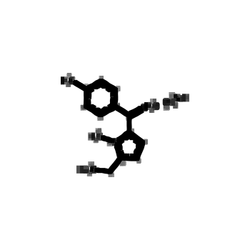 Cc1ccc(C(=O)c2ccc(CC(=O)O)n2C)cc1.O.O.[NaH]